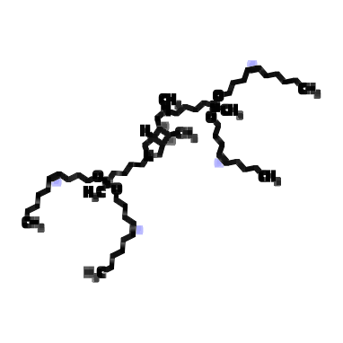 CCCC/C=C\CCCO[Si](C)(CCCCN(C)C[C@H]1[C@@H](C)C2CN(CCCC[Si](C)(OCCC/C=C\CCCCC)OCCC/C=C\CCCCC)C[C@@H]21)OCCC/C=C\CCCCC